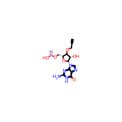 C#CCOC1[C@@H](COPO)O[C@@H](n2cnc3c(=O)[nH]c(N)nc32)[C@H]1O